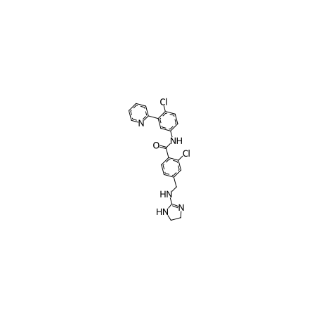 O=C(Nc1ccc(Cl)c(-c2ccccn2)c1)c1ccc(CNC2=NCCN2)cc1Cl